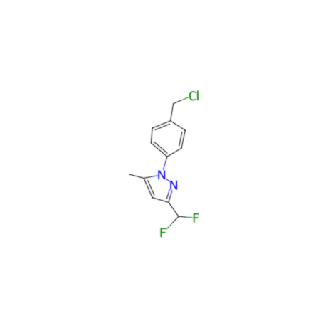 Cc1cc(C(F)F)nn1-c1ccc(CCl)cc1